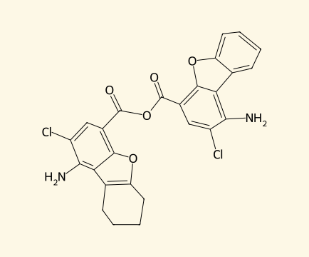 Nc1c(Cl)cc(C(=O)OC(=O)c2cc(Cl)c(N)c3c2oc2ccccc23)c2oc3c(c12)CCCC3